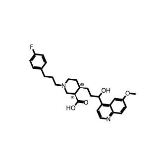 COc1ccc2nccc(C(O)CC[C@@H]3CCN(CCCc4ccc(F)cc4)C[C@@H]3C(=O)O)c2c1